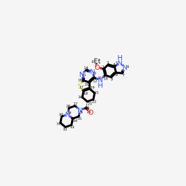 CCOc1cc2[nH]ncc2cc1Nc1ncnc2sc3c(c12)CC[C@H](C(=O)N1CCN2CCCCC2C1)C3